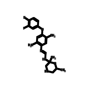 Cc1cc(Oc2ccc(F)c(I)c2)c(C)cc1/N=C/NC1(C)CNCC(C)O1